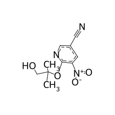 CC(C)(CO)Oc1ncc(C#N)cc1[N+](=O)[O-]